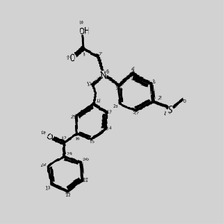 CSc1ccc(N(CC(=O)O)Cc2cccc(C(=O)c3ccccc3)c2)cc1